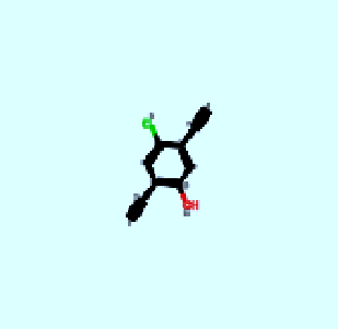 C#Cc1cc(Cl)c(C#C)cc1O